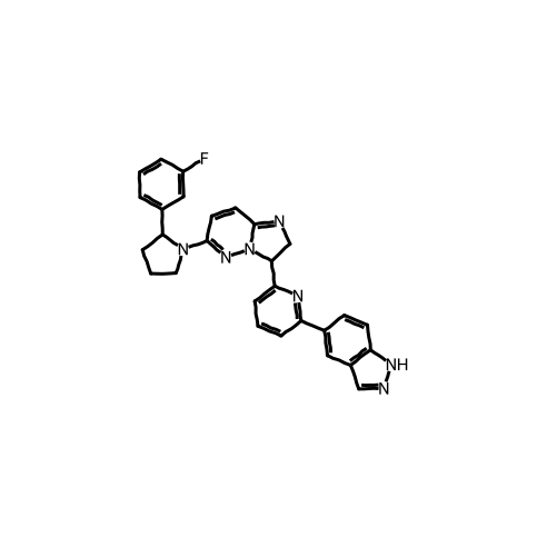 Fc1cccc(C2CCCN2C2=NN3C(=NCC3c3cccc(-c4ccc5[nH]ncc5c4)n3)C=C2)c1